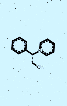 OC[C@H](c1ccccc1)[n+]1ccccc1